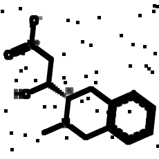 CN1Cc2ccccc2C[C@H]1C(O)C[N+](=O)[O-]